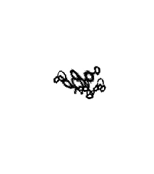 c1ccc(-c2ccc(N(c3ccccc3)c3cc(N(c4ccccc4)c4ccc5oc6ccccc6c5c4)cc4nc(-c5ccc6c(c5)oc5ccccc56)oc34)cc2)cc1